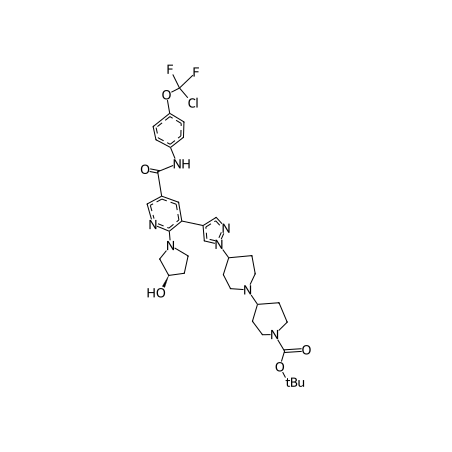 CC(C)(C)OC(=O)N1CCC(N2CCC(n3cc(-c4cc(C(=O)Nc5ccc(OC(F)(F)Cl)cc5)cnc4N4CC[C@@H](O)C4)cn3)CC2)CC1